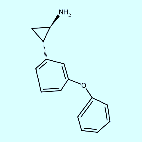 N[C@@H]1C[C@H]1c1cccc(Oc2ccccc2)c1